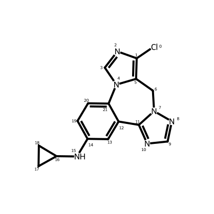 Clc1ncn2c1Cn1ncnc1-c1cc(NC3CC3)ccc1-2